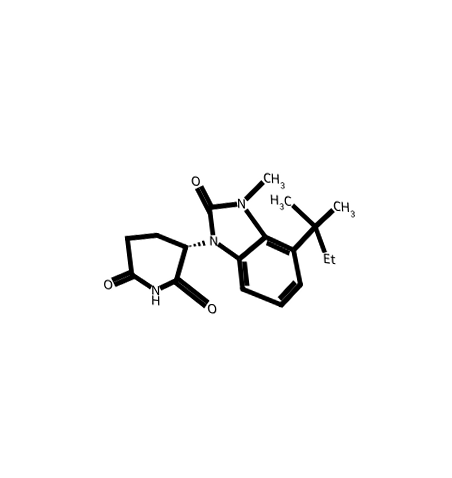 CCC(C)(C)c1cccc2c1n(C)c(=O)n2[C@H]1CCC(=O)NC1=O